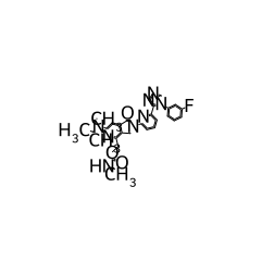 CNC(=O)OCc1nc(N(C)C(C)C)cc2c1CN(c1cccc(-c3nncn3-c3cccc(F)c3)n1)C2=O